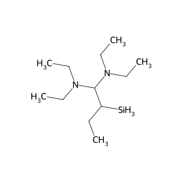 CCC([SiH3])C(N(CC)CC)N(CC)CC